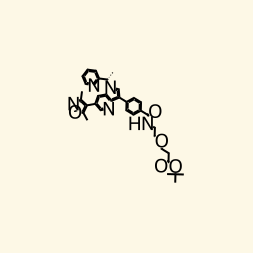 Cc1noc(C)c1-c1cnc2c(-c3ccc(C(=O)NCCOCCC(=O)OC(C)(C)C)cc3)cn([C@@H](C)c3ccccn3)c2c1